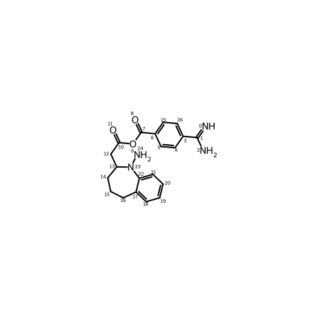 N=C(N)c1ccc(C(=O)OC(=O)CC2CCCc3ccccc3N2N)cc1